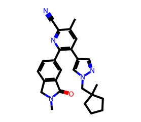 Cc1cc(-c2cnn(CC3(C)CCCC3)c2)c(-c2ccc3c(c2)C(=O)N(C)C3)nc1C#N